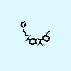 COc1cccc(-c2nc3cc(C(=O)NCCCn4ccnc4)ccc3nc2Cl)c1